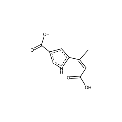 C/C(=C/C(=O)O)c1cc(C(=O)O)n[nH]1